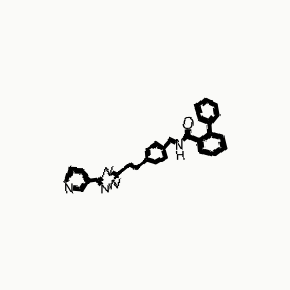 O=C(NCc1ccc(CCC2N=NC(c3cccnc3)=N2)cc1)c1ccccc1-c1ccccc1